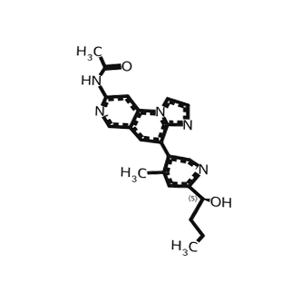 CCC[C@H](O)c1cc(C)c(-c2cc3cnc(NC(C)=O)cc3n3ccnc23)cn1